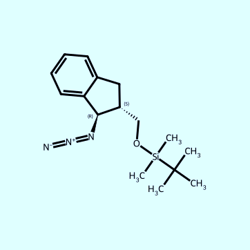 CC(C)(C)[Si](C)(C)OC[C@H]1Cc2ccccc2[C@@H]1N=[N+]=[N-]